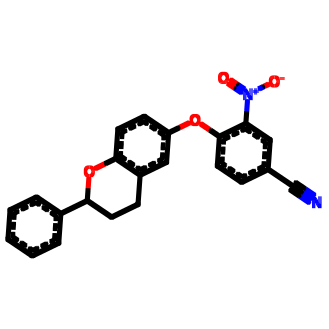 N#Cc1ccc(Oc2ccc3c(c2)CCC(c2ccccc2)O3)c([N+](=O)[O-])c1